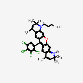 CC[N+]1=c2cc3c(cc2C(C)=CC1(C)C)=C(c1cc(Cl)c(Cl)c(Cl)c1Cl)c1cc2c(cc1O3)N(CCCC(=O)O)C(C)(C)C=C2C